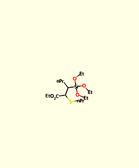 CCCSC(C(=O)OCC)C(CCC)[Si](OCC)(OCC)OCC